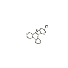 Clc1ccc2c(c1)sc1c3ccccc3c3ccccc3c21